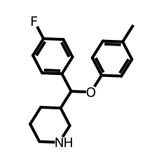 Cc1ccc(OC(c2ccc(F)cc2)C2CCCNC2)cc1